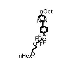 CCCCCCCCc1cnc(-c2ccc(OC(F)(F)C(F)(F)OCCOCCCCCC)cc2)nc1